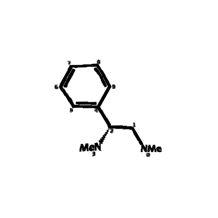 CNC[C@H](NC)c1ccccc1